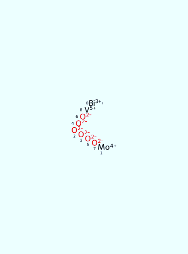 [Bi+3].[Mo+4].[O-2].[O-2].[O-2].[O-2].[O-2].[O-2].[V+5]